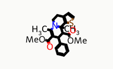 COC(=O)C1=C(C)N2CCc3ccsc3C2(C)C(C(=O)OC)C1c1ccccc1